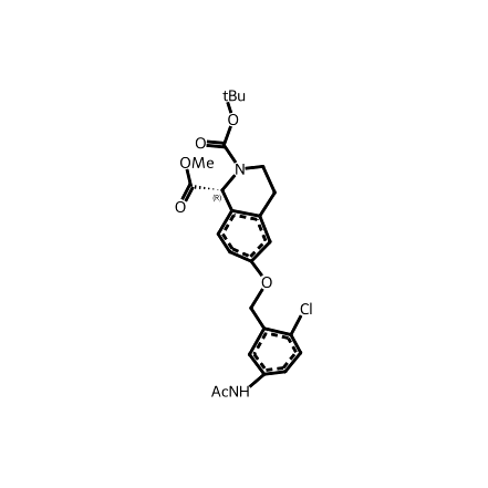 COC(=O)[C@H]1c2ccc(OCc3cc(NC(C)=O)ccc3Cl)cc2CCN1C(=O)OC(C)(C)C